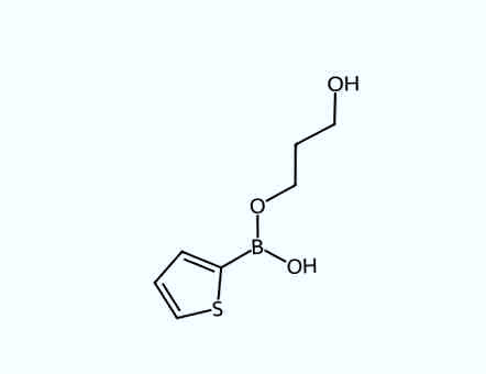 OCCCOB(O)c1cccs1